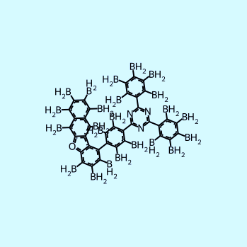 Bc1c(B)c(B)c(-c2nc(-c3c(B)c(B)c(B)c(B)c3B)nc(-c3c(B)c(B)c(-c4c(B)c(B)c(B)c5oc6c(B)c7c(B)c(B)c(B)c(B)c7c(B)c6c45)c(B)c3B)n2)c(B)c1B